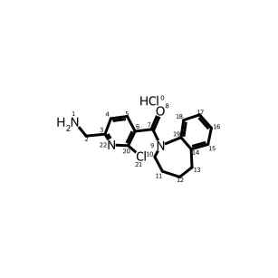 Cl.NCc1ccc(C(=O)N2CCCCc3ccccc32)c(Cl)n1